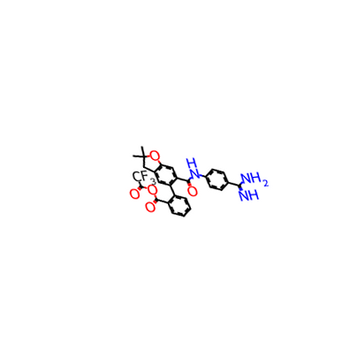 CC1(C)Cc2cc(-c3ccccc3C(=O)OC(=O)C(F)(F)F)c(C(=O)Nc3ccc(C(=N)N)cc3)cc2O1